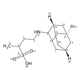 CC(CCNC1C2C[C@H]3C[C@@H](C2)C[C@@H]1C3)S(=O)(=O)O